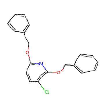 Clc1ccc(OCc2ccccc2)nc1OCc1ccccc1